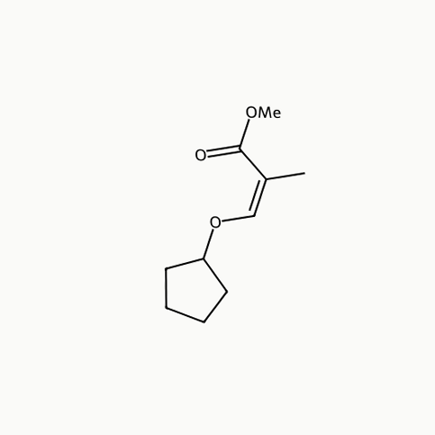 COC(=O)C(C)=COC1CCCC1